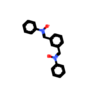 [O-][N+](=Cc1cccc(/C=[N+](\[O-])c2ccccc2)c1)c1ccccc1